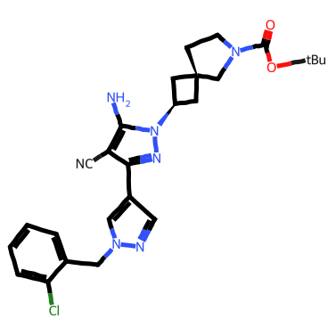 CC(C)(C)OC(=O)N1CC[C@]2(C1)C[C@H](n1nc(-c3cnn(Cc4ccccc4Cl)c3)c(C#N)c1N)C2